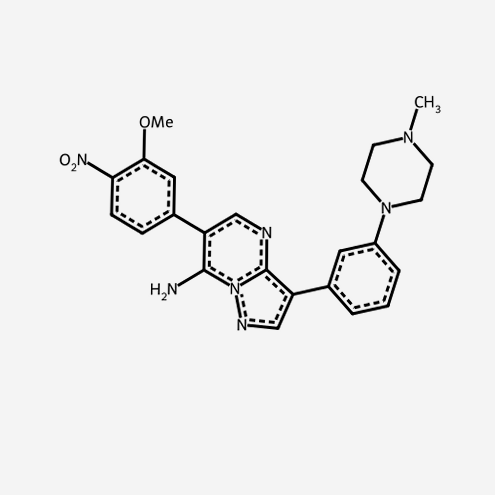 COc1cc(-c2cnc3c(-c4cccc(N5CCN(C)CC5)c4)cnn3c2N)ccc1[N+](=O)[O-]